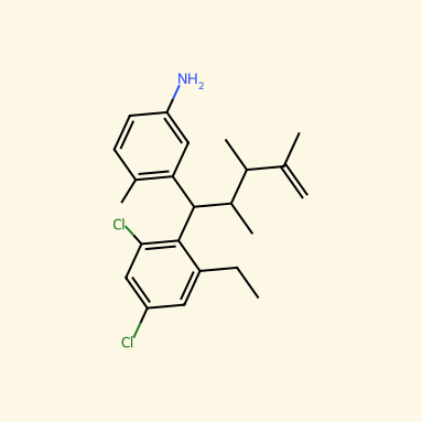 C=C(C)C(C)C(C)C(c1cc(N)ccc1C)c1c(Cl)cc(Cl)cc1CC